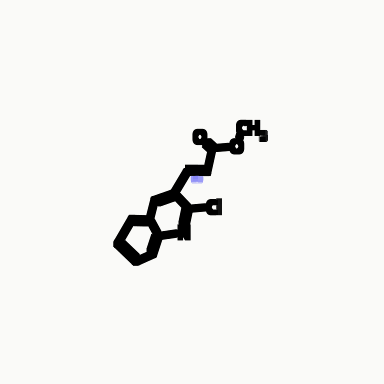 COC(=O)/C=C/c1cc2ccccc2nc1Cl